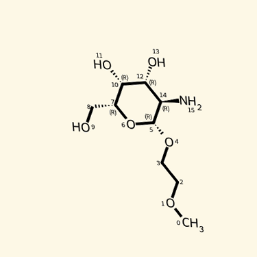 COCCO[C@@H]1O[C@H](CO)[C@H](O)[C@H](O)[C@H]1N